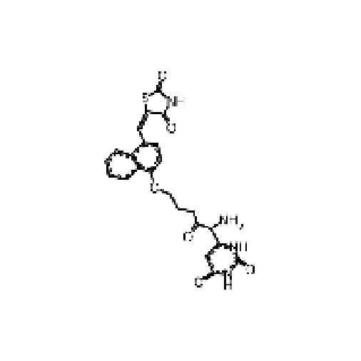 NC(C(=O)CCCOc1ccc(C=C2SC(=O)NC2=O)c2ccccc12)c1cc(=O)[nH]c(=O)[nH]1